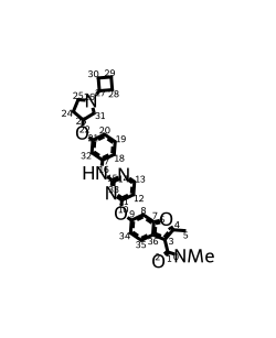 CNC(=O)c1c(C)oc2cc(Oc3ccnc(Nc4cccc(OC5CCN(C6CCC6)C5)c4)n3)ccc12